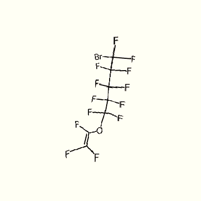 FC(F)=C(F)OC(F)(F)C(F)(F)C(F)(F)C(F)(F)C(F)(F)Br